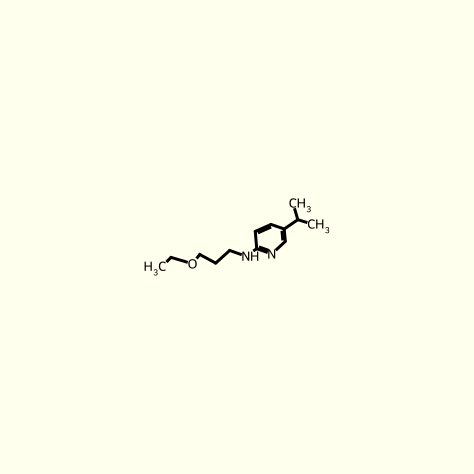 CCOCCCNc1ccc(C(C)C)cn1